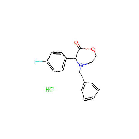 Cl.O=C1OCCN(Cc2ccccc2)C1c1ccc(F)cc1